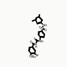 Cc1cc(C)cc(NS(=O)(=O)c2ccc(NC(=S)NC(=O)c3ccc(OCC(C)C)c(Br)c3)cc2)c1